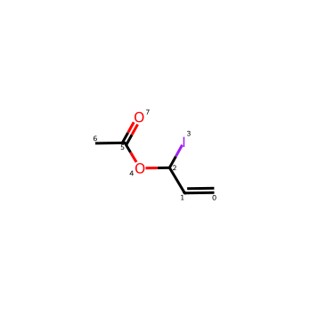 C=CC(I)OC(C)=O